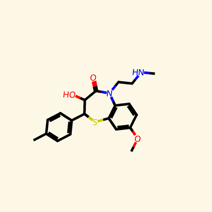 CNCCN1C(=O)C(O)C(c2ccc(C)cc2)Sc2cc(OC)ccc21